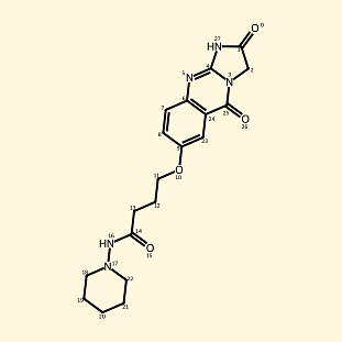 O=C1Cn2c(nc3ccc(OCCCC(=O)NN4CCCCC4)cc3c2=O)N1